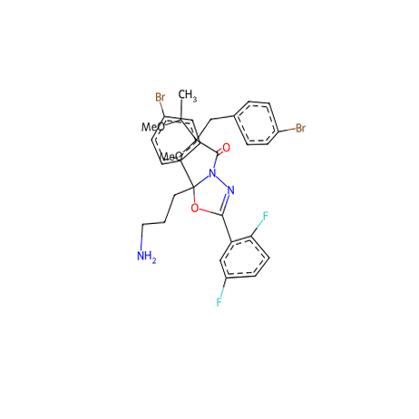 COC(C)C(Cc1ccc(Br)cc1)(OC)C(=O)N1N=C(c2cc(F)ccc2F)OC1(CCCN)c1ccc(Br)cc1